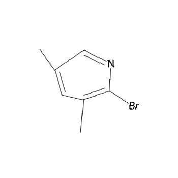 Cc1cnc(Br)c(C)c1